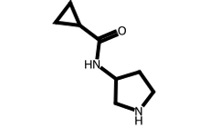 O=C(NC1CCNC1)C1CC1